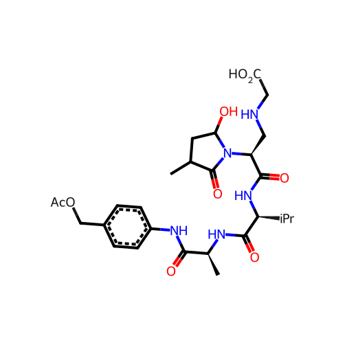 CC(=O)OCc1ccc(NC(=O)[C@H](C)NC(=O)[C@@H](NC(=O)[C@H](CNCC(=O)O)N2C(=O)C(C)CC2O)C(C)C)cc1